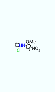 COc1cc([N+](=O)[O-])c(C)cc1NCc1ccccc1Cl